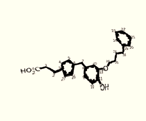 O=C(O)CCc1ccc(Cc2ccc(O)c(OCCCCc3ccccc3)c2)cc1